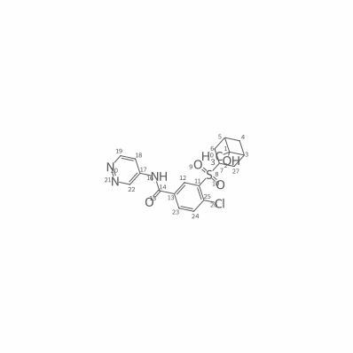 CC1(O)C2CC1CC(S(=O)(=O)c1cc(C(=O)Nc3ccnnc3)ccc1Cl)C2